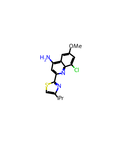 COc1cc(Cl)c2nc(-c3nc(C(C)C)cs3)cc(N)c2c1